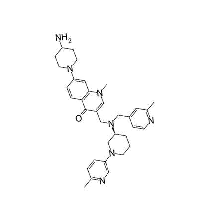 Cc1ccc(N2CCC[C@H](N(Cc3ccnc(C)c3)Cc3cn(C)c4cc(N5CCC(N)CC5)ccc4c3=O)C2)cn1